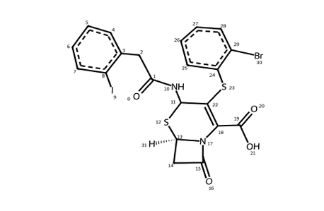 O=C(Cc1ccccc1I)NC1S[C@@H]2CC(=O)N2C(C(=O)O)=C1Sc1ccccc1Br